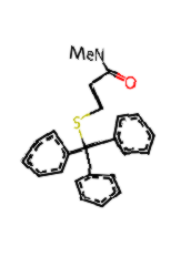 CNC(=O)CCSC(c1ccccc1)(c1ccccc1)c1ccccc1